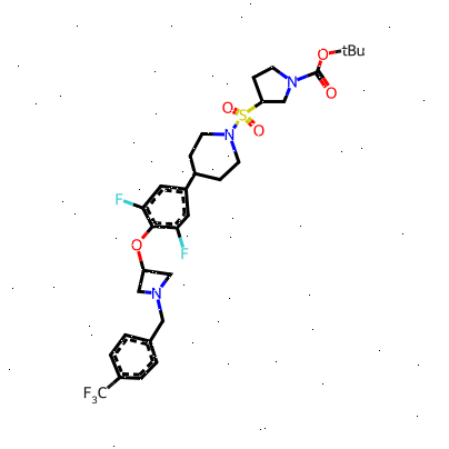 CC(C)(C)OC(=O)N1CCC(S(=O)(=O)N2CCC(c3cc(F)c(OC4CN(Cc5ccc(C(F)(F)F)cc5)C4)c(F)c3)CC2)C1